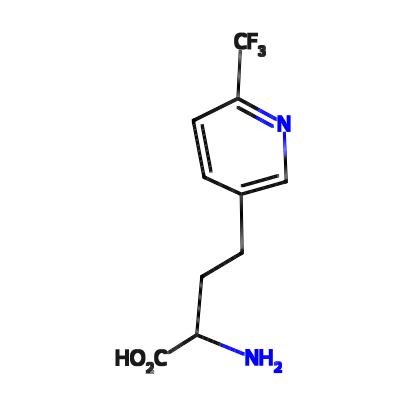 NC(CCc1ccc(C(F)(F)F)nc1)C(=O)O